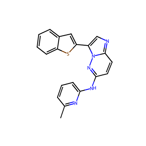 Cc1cccc(Nc2ccc3ncc(-c4cc5ccccc5s4)n3n2)n1